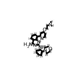 CN(C)CCOc1ccnc(-c2cccc3c(N)nc(Nc4ccccc4N4CCOCC4)nc23)c1